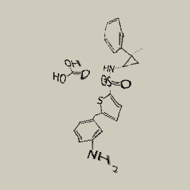 C[C@]1(c2ccccc2)C[C@@H]1NS(=O)(=O)c1ccc(-c2cccc(N)c2)s1.O=C(O)O